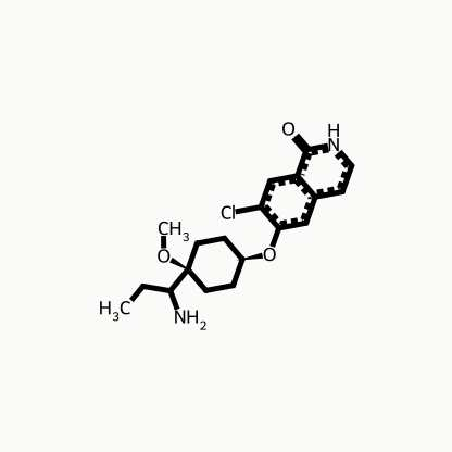 CCC(N)[C@]1(OC)CC[C@@H](Oc2cc3cc[nH]c(=O)c3cc2Cl)CC1